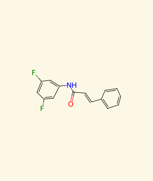 O=C(C=Cc1ccccc1)Nc1cc(F)cc(F)c1